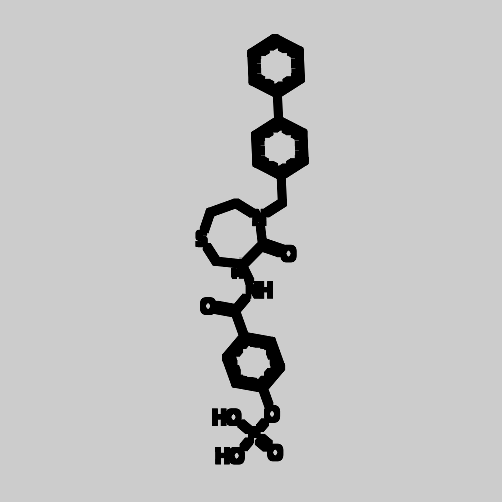 O=C(N[C@H]1CSCCN(Cc2ccc(-c3ccccc3)cc2)C1=O)c1ccc(OP(=O)(O)O)cc1